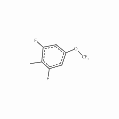 Cc1c(F)cc(OC(F)(F)F)cc1F